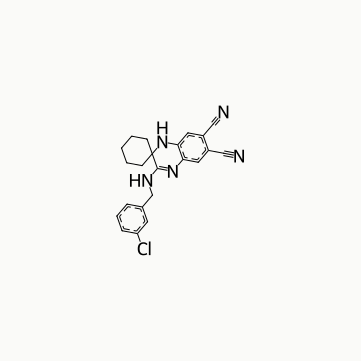 N#Cc1cc2c(cc1C#N)NC1(CCCCC1)C(NCc1cccc(Cl)c1)=N2